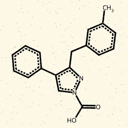 Cc1cccc(Cc2nn(C(=O)O)cc2-c2ccccc2)c1